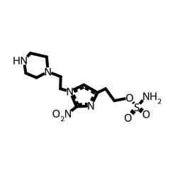 NS(=O)(=O)OCCc1cn(CCN2CCNCC2)c([N+](=O)[O-])n1